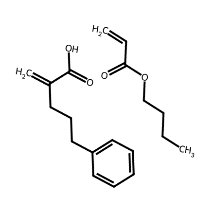 C=C(CCCc1ccccc1)C(=O)O.C=CC(=O)OCCCC